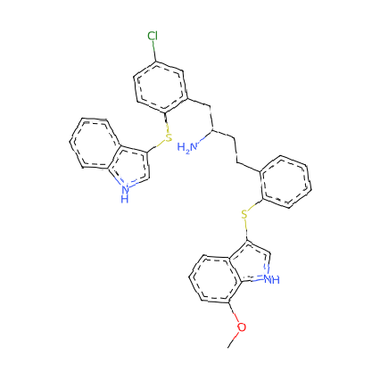 COc1cccc2c(Sc3ccccc3CCC(N)Cc3cc(Cl)ccc3Sc3c[nH]c4ccccc34)c[nH]c12